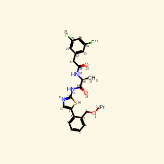 CC(C)OCc1ccccc1-c1cnc(NC(=O)[C@H](C)NC(=O)Cc2cc(F)cc(F)c2)s1